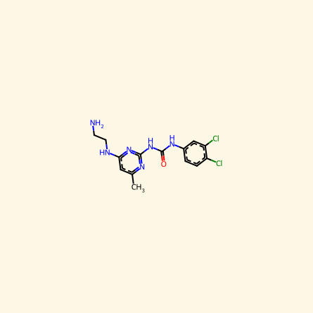 Cc1cc(NCCN)nc(NC(=O)Nc2ccc(Cl)c(Cl)c2)n1